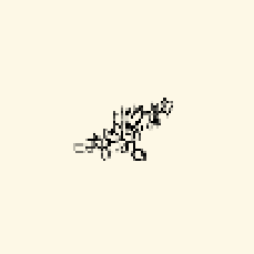 CCN1C(=O)c2cnc(Nc3cc(N[C@H](CO)c4ccccc4)c(-c4nc(-c5ccncc5)no4)cn3)nc2C1(C)C